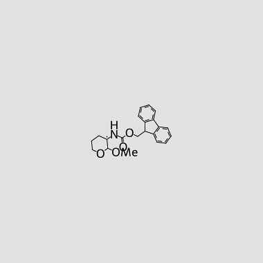 COC1OCCC[C]1NC(=O)OCC1c2ccccc2-c2ccccc21